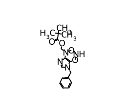 CC(C)(C)C(=O)OCn1o[nH]oc2c1ncn2Cc1ccccc1